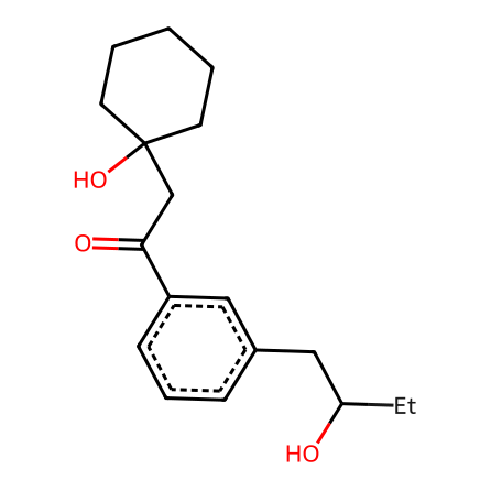 CCC(O)Cc1cccc(C(=O)CC2(O)CCCCC2)c1